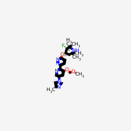 COCOc1cc(-n2cnc(C)c2)cnc1-c1ccc(O[C@H]2CC(C)(C)NC(C)(C)[C@H]2F)nn1